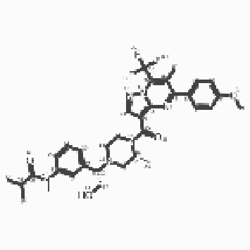 COc1ccc(-c2nc3c(C(=O)N4CCN([C@H](CO)c5cccc(NC(=O)C(C)C)c5)C[C@H]4C)cnn3c(C(F)(F)F)c2C)cc1